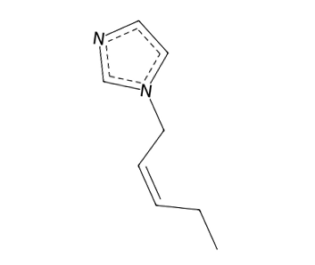 CC/C=C\Cn1ccnc1